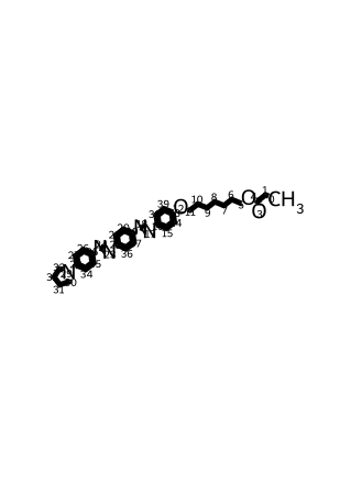 CCC(=O)OCCCCCCCOc1ccc(N=Nc2ccc(N=Nc3ccc(N4CCCC4)cc3)cc2)cc1